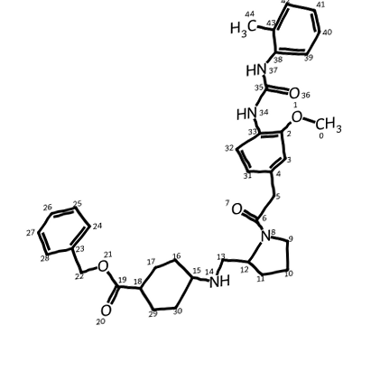 COc1cc(CC(=O)N2CCCC2CNC2CCC(C(=O)OCc3ccccc3)CC2)ccc1NC(=O)Nc1ccccc1C